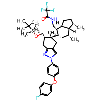 C[C@@H]1C[C@H]([C@@]2(C)Cc3cn(-c4ccc(Oc5ccc(F)cc5)cc4)nc3C[C@@H]2CO[Si](C)(C)C(C)(C)C)[C@@H](CNC(=O)C(F)(F)F)[C@H]2CC[C@H](C)[C@@H]21